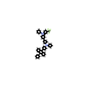 FC(F)(F)c1ccc2c(c1)c1cc(-c3ccc(N(c4ccccc4)c4ccc(-c5c6ccccc6c(-c6ccccc6)c6ccccc56)cc4)cc3)ccc1n2-c1ccccc1